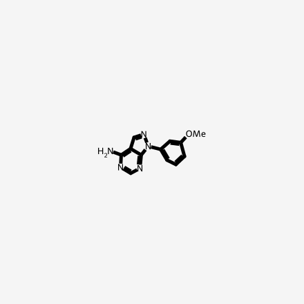 COc1cccc(-n2ncc3c(N)ncnc32)c1